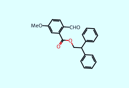 COc1ccc(C=O)c(C(=O)OCC(c2ccccc2)c2ccccc2)c1